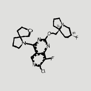 Fc1c(Cl)ncc2c(N3CCCC34CCOC4)nc(OC[C@@]34CCCN3C[C@H](F)C4)nc12